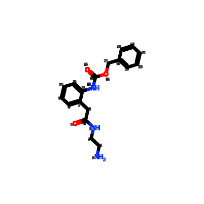 NCCNC(=O)Cc1ccccc1NC(=O)OCc1ccccc1